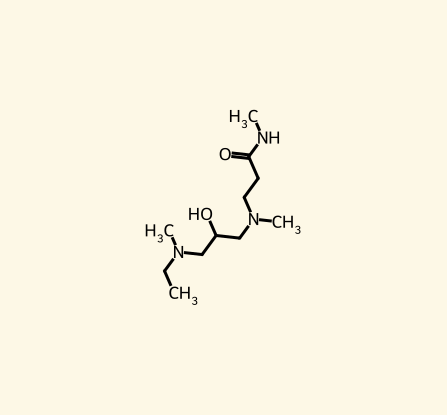 CCN(C)CC(O)CN(C)CCC(=O)NC